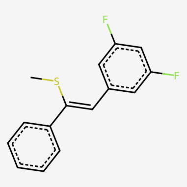 CSC(=Cc1cc(F)cc(F)c1)c1ccccc1